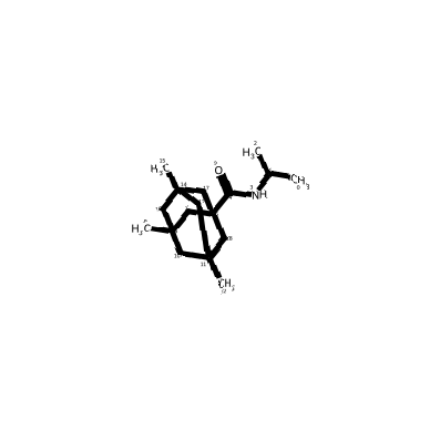 CC(C)NC(=O)C12CC3(C)CC(C)(CC(C)(C3)C1)C2